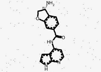 N[C@H]1COc2cc(C(=O)Nc3ccnc4[nH]ccc34)ccc21